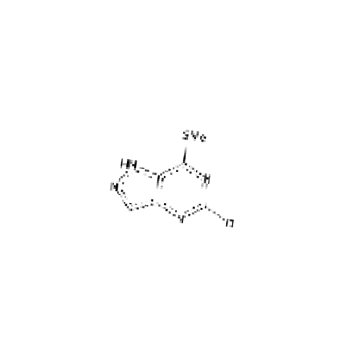 CSc1nc(Cl)nc2cn[nH]c12